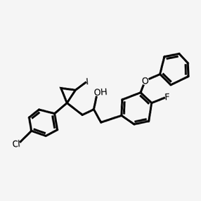 OC(Cc1ccc(F)c(Oc2ccccc2)c1)CC1(c2ccc(Cl)cc2)CC1I